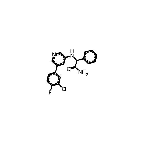 NC(=O)C(Nc1cncc(-c2ccc(F)c(Cl)c2)c1)c1ccccc1